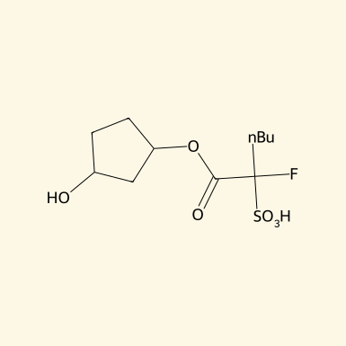 CCCCC(F)(C(=O)OC1CCC(O)C1)S(=O)(=O)O